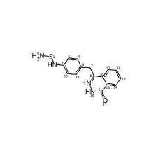 NSNc1ccc(Cc2n[nH]c(=O)c3ccccc23)cc1